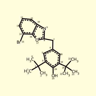 CC(C)(C)c1cc(Cc2nc3cccc(Br)c3o2)cc(C(C)(C)C)c1O